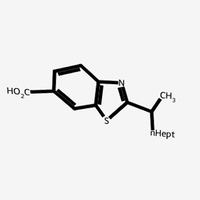 CCCCCCCC(C)c1nc2ccc(C(=O)O)cc2s1